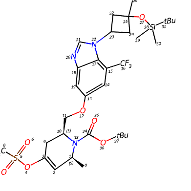 C[C@H]1C=C(OS(=O)(=O)C(F)(F)F)C[C@@H](COc2cc(C(F)(F)F)c3c(c2)ncn3C2CC(C)(O[Si](C)(C)C(C)(C)C)C2)N1C(=O)OC(C)(C)C